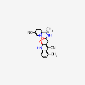 Cc1cccc2[nH]c(=O)c(CC(=O)N[C@@H](C)c3ccc(C#N)cn3)c(C#N)c12